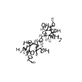 CCOC[C@]1(C)OC(C)(CO)[C@](C)(COC[C@@]2(C)OC(C)(CO)[C@@](C)(COC)[C@](C)(O)C2(C)N)[C@](C)(O)C1(C)N